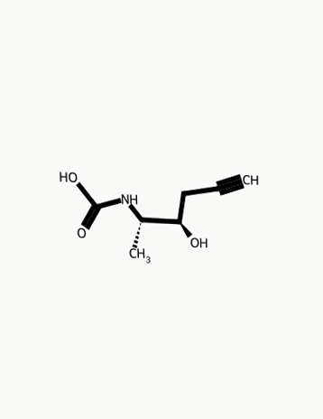 C#CC[C@@H](O)[C@H](C)NC(=O)O